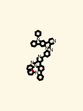 c1ccc(-n2c3ccccc3c3cc4c(cc32)c2ccncc2c2nc3ccc(-c5cc6c(cn5)c5nc7ccccc7n5c5c6ccc6c7ccccc7n(-c7ccccc7)c65)cc3n42)cc1